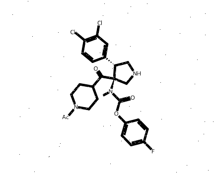 CC(=O)N1CCC(C(=O)[C@@]2(N(C)C(=O)Oc3ccc(F)cc3)CNC[C@H]2c2ccc(Cl)c(Cl)c2)CC1